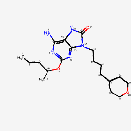 CCC[C@@H](C)Oc1nc(N)c2[nH]c(=O)n(CCCCC3CCOCC3)c2n1